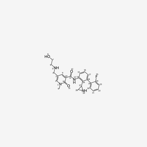 Cn1cc(CNCCO)cc(C(=O)Nc2cccc(-c3ccccc3F)c2C2CN2)c1=O